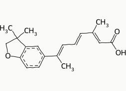 CC(C=CC=C(C)c1ccc2c(c1)C(C)(C)CO2)=CC(=O)O